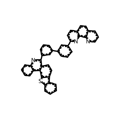 c1cc(-c2cccc(-c3nc4ccccc4c4c3ccc3c5ccccc5sc34)c2)cc(-c2ccc3ccc4cccnc4c3n2)c1